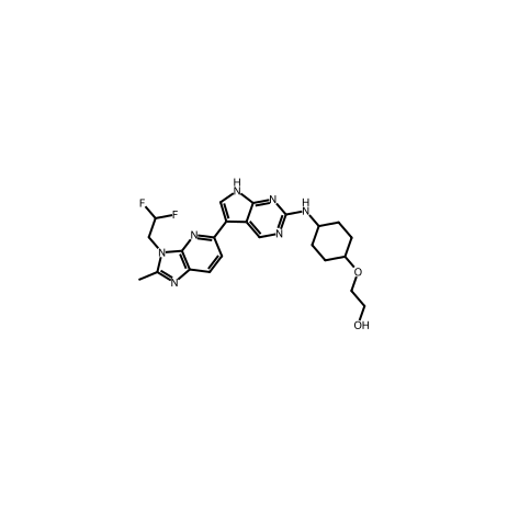 Cc1nc2ccc(-c3c[nH]c4nc(NC5CCC(OCCO)CC5)ncc34)nc2n1CC(F)F